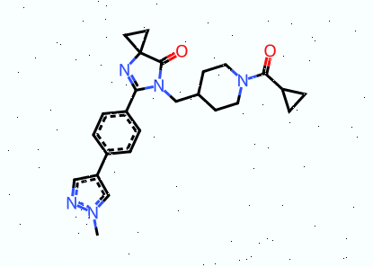 Cn1cc(-c2ccc(C3=NC4(CC4)C(=O)N3CC3CCN(C(=O)C4CC4)CC3)cc2)cn1